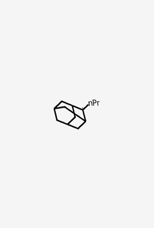 CCC[C]1C2CC3CC(C2)CC1C3